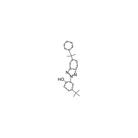 CC(C)(C)c1ccc(O)c(-n2nc3ccc(C(C)(C)c4ccccc4)cc3n2)c1